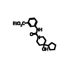 CCOC(=O)c1cccc(NC(=O)N2CCC(O)(C3CCCC3)CC2)c1